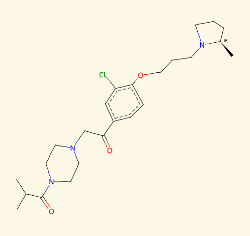 CC(C)C(=O)N1CCN(CC(=O)c2ccc(OCCCN3CCC[C@H]3C)c(Cl)c2)CC1